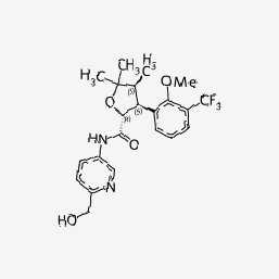 COc1c([C@H]2[C@H](C(=O)Nc3ccc(CO)nc3)OC(C)(C)[C@H]2C)cccc1C(F)(F)F